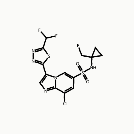 O=S(=O)(NC1(CF)CC1)c1cc(Cl)c2ncc(-c3nnc(C(F)F)s3)n2c1